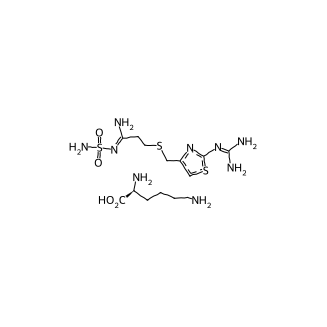 NC(N)=Nc1nc(CSCCC(N)=NS(N)(=O)=O)cs1.NCCCC[C@H](N)C(=O)O